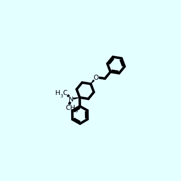 CN(C)[C@]1(c2ccccc2)CC[C@H](OCc2ccccc2)CC1